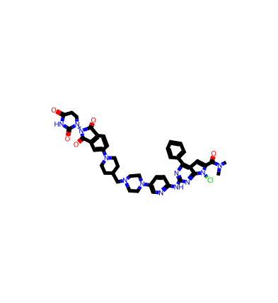 CN(C)C(=O)c1cc2c(-c3ccccc3)nc(Nc3ccc(N4CCN(CC5CCN(c6ccc7c(c6)C(=O)N(N6CCC(=O)NC6=O)C7=O)CC5)CC4)cn3)nc2n1Cl